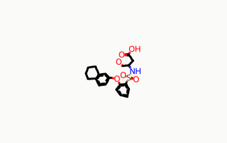 O=CC(CC(=O)O)NS(=O)(=O)c1ccccc1Oc1ccc2c(c1)CCCC2